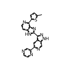 Cc1ccc(-c2nccc3[nH]c(-c4n[nH]c5cnc(-c6cnccn6)cc45)nc23)s1